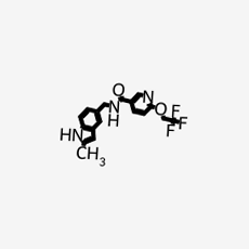 Cc1cc2cc(CNC(=O)c3ccc(OCC(F)(F)F)nc3)ccc2[nH]1